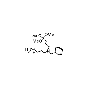 C=CNCCN(CCC[Si](OC)(OC)OC)Cc1ccccc1